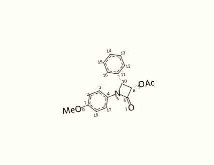 COc1ccc(N2C(=O)[C@@H](OC(C)=O)[C@H]2c2ccccc2)cc1